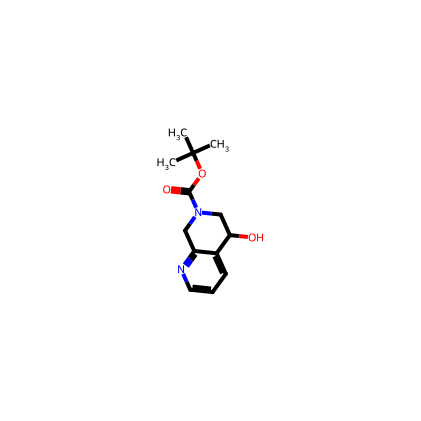 CC(C)(C)OC(=O)N1Cc2ncccc2C(O)C1